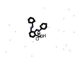 O=S(=O)(O)c1cccc(/C=C/c2ccccc2)c1/C=C/c1ccccc1